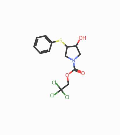 O=C(OCC(Cl)(Cl)Cl)N1CC(O)C(Sc2ccccc2)C1